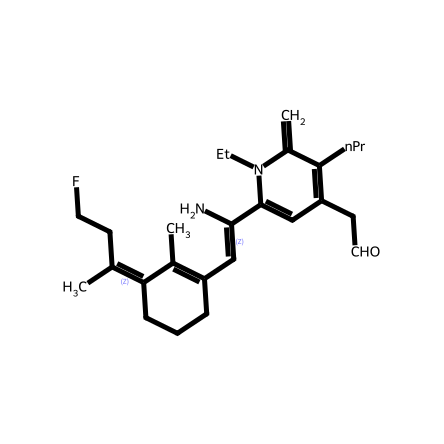 C=C1C(CCC)=C(CC=O)C=C(/C(N)=C/C2=C(C)C(=C(/C)CCF)/CCC2)N1CC